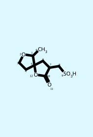 CC1OCCC12CC(CS(=O)(=O)O)C(=O)O2